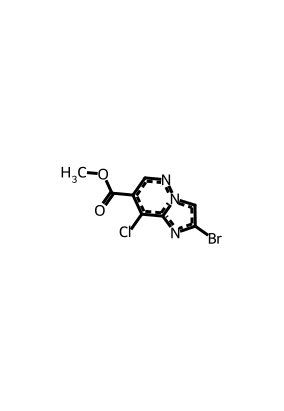 COC(=O)c1cnn2cc(Br)nc2c1Cl